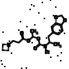 CCN(C(=O)OC(C)OC(=O)CCN1CCC1)C(C)Cc1ccc2c(c1)OCO2